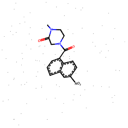 CN1CCN(C(=O)c2cccc3cc([N+](=O)[O-])ccc23)CC1=O